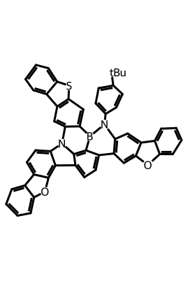 CC(C)(C)c1ccc(N2B3c4cc5sc6ccccc6c5cc4-n4c5ccc6c7ccccc7oc6c5c5ccc(c3c54)-c3cc4oc5ccccc5c4cc32)cc1